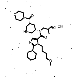 COCCCCn1c(C(=O)N(CC(C)C)[C@@H]2CNC[C@H](C(=O)N3CCOCC3)C2)cnc1C1CCCCC1.Cl.Cl